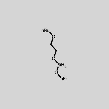 CCCCOCCO[SiH2]OCCC